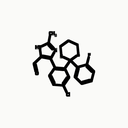 Cc1nc(-c2ccc(Cl)cc2C2(c3ccccc3F)SCCCS2)c(C=O)[nH]1